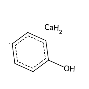 Oc1cc[c]cc1.[CaH2]